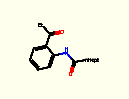 CCCCCCCC(=O)Nc1ccccc1C(=O)CC